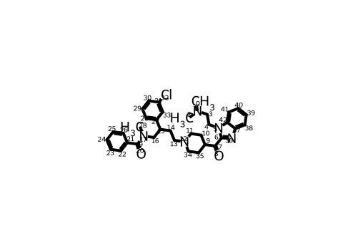 CN(C)CCn1c(C(=O)C2CCN(CCC(CN(C)C(=O)c3ccccc3)c3cccc(Cl)c3)CC2)nc2ccccc21